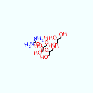 NC(N)=O.OCC(O)CO.OCC(O)CO.OCC(O)CO